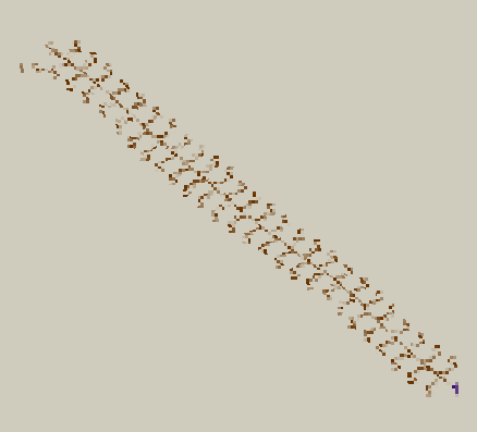 S=S(=S)(I)S(=S)(=S)S(=S)(=S)S(=S)(=S)S(=S)(=S)S(=S)(=S)S(=S)(=S)S(=S)(=S)S(=S)(=S)S(=S)(=S)S(=S)(=S)S(=S)(=S)S(=S)(=S)S(=S)(=S)S(=S)(=S)S(=S)(=S)S(=S)(=S)S(=S)(=S)S(=S)(=S)S(=S)(=S)S(=S)(=S)S(=S)(=S)S(=S)(=S)S(=S)(=S)S(=S)(=S)S(=S)(=S)SS